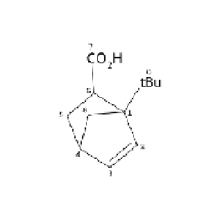 CC(C)(C)C12C=CC(CC1C(=O)O)C2